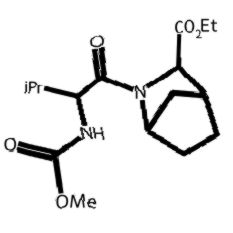 CCOC(=O)C1C2CCC(C2)N1C(=O)C(NC(=O)OC)C(C)C